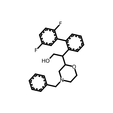 OCC(c1ccccc1-c1cc(F)ccc1F)C1CN(Cc2ccccc2)CCO1